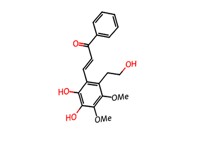 COc1c(O)c(O)c(C=CC(=O)c2ccccc2)c(CCO)c1OC